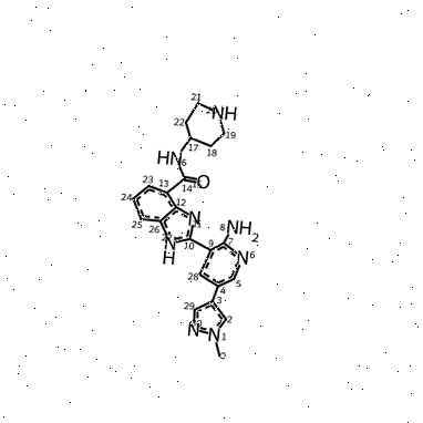 Cn1cc(-c2cnc(N)c(-c3nc4c(C(=O)NC5CCNCC5)cccc4[nH]3)c2)cn1